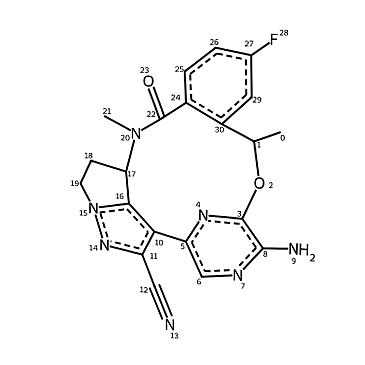 CC1Oc2nc(cnc2N)-c2c(C#N)nn3c2C(CC3)N(C)C(=O)c2ccc(F)cc21